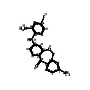 Nc1ccc2c(c1)COc1cc(Nc3ccc(F)cc3N)ccc1C2=O